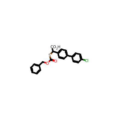 O=C(OCc1ccccc1)SC(C(=O)O)c1ccc(-c2ccc(Cl)cc2)cc1